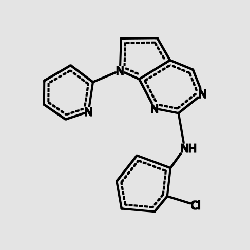 Clc1ccccc1Nc1ncc2ccn(-c3ccccn3)c2n1